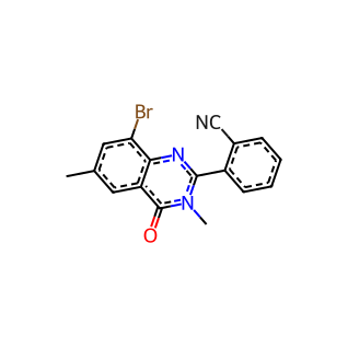 Cc1cc(Br)c2nc(-c3ccccc3C#N)n(C)c(=O)c2c1